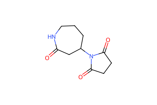 O=C1CC(N2C(=O)CCC2=O)CCCN1